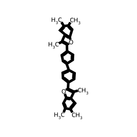 Cc1cc2oc(-c3ccc(-c4ccc(-c5oc6cc(C)c(C)cc6c5C)cc4)cc3)c(C)c2cc1C